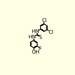 Oc1ccc(NC(=S)Nc2cc(Cl)cc(Cl)c2)cc1F